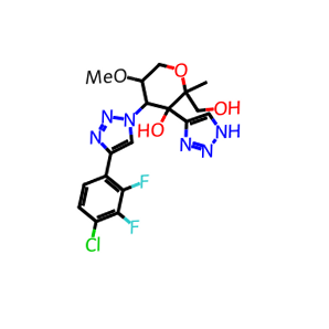 COC1COC(C)(CO)C(O)(c2c[nH]nn2)C1n1cc(-c2ccc(Cl)c(F)c2F)nn1